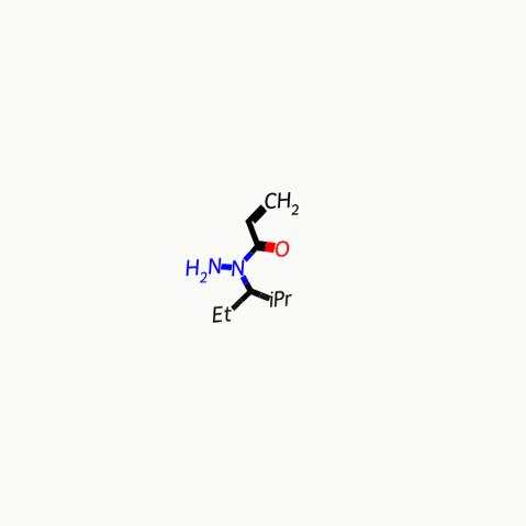 C=CC(=O)N(N)C(CC)C(C)C